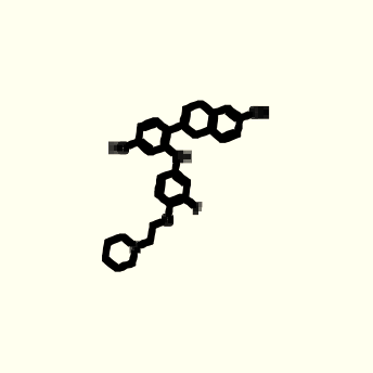 Oc1ccc2c(c1)CC=C(c1ccc(O)cc1Nc1ccc(OCCN3CCCCC3)c(F)c1)C2